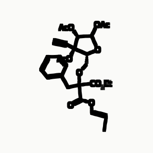 C#C[C@@]1(OC(C)=O)[C@@H](COC(Cc2ccccc2)(C(=O)O/C=C/C)C(=O)OCC)OC(OC(C)=O)[C@@H]1OC(C)=O